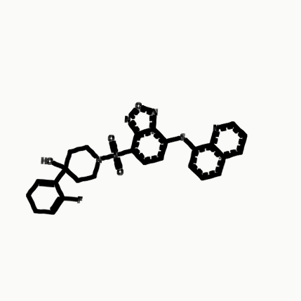 O=S(=O)(c1ccc(Sc2cccc3cccnc23)c2nonc12)N1CCC(O)(C2=CCCC=C2F)CC1